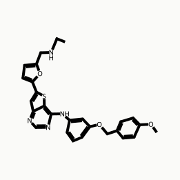 CCNCc1ccc(-c2cc3ncnc(Nc4cccc(OCc5ccc(OC)cc5)c4)c3s2)o1